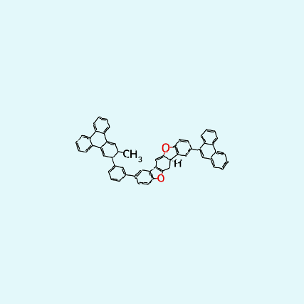 CC1C=c2c(c3ccccc3c3ccccc23)=CC1c1cccc(-c2ccc3oc4c(c3c2)C=C2Oc3ccc(-c5cc6ccccc6c6ccccc56)cc3[C@H]2C4)c1